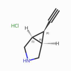 C#C[C@H]1[C@H]2CNC[C@@H]12.Cl